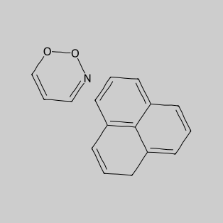 C1=COON=C1.C1=Cc2cccc3cccc(c23)C1